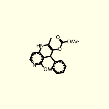 COC(=O)OC1=C(C)Nc2ccnc(OC)c2C1c1ccccc1